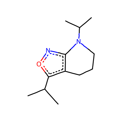 CC(C)c1onc2c1CCCN2C(C)C